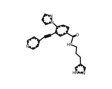 O=C(NCCCc1cn[nH]c1)c1ccc(-n2cccn2)c(C#Cc2ccncc2)c1